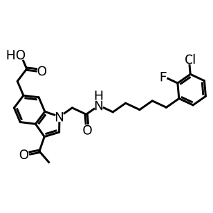 CC(=O)c1cn(CC(=O)NCCCCCc2cccc(Cl)c2F)c2cc(CC(=O)O)ccc12